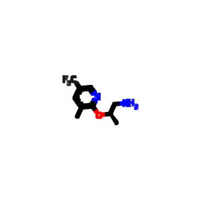 Cc1cc(C(F)(F)F)cnc1O[C@H](C)CN